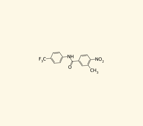 Cc1cc(C(=O)Nc2ccc(C(F)(F)F)cc2)ccc1[N+](=O)[O-]